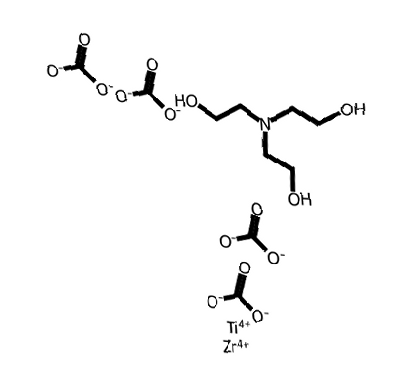 O=C([O-])[O-].O=C([O-])[O-].O=C([O-])[O-].O=C([O-])[O-].OCCN(CCO)CCO.[Ti+4].[Zr+4]